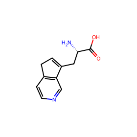 N[C@@H](CC1=CCc2ccncc21)C(=O)O